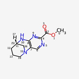 COC(=O)c1ncc2c(n1)N[C@H]1CCCN2C1